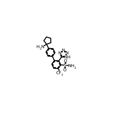 NC1(c2ccc(-c3ccc(C(F)(F)F)c(S(N)(=O)=O)c3-c3nnn[nH]3)cc2)CCCC1